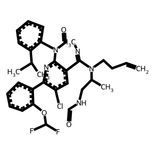 C=CCCN(/C(=N/C)c1cc(Cl)c(-c2ccccc2OC(F)F)nc1N(C=O)c1ccccc1C(C)C)C(C)CNC=O